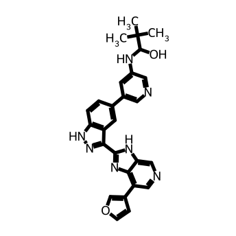 CC(C)(C)C(O)Nc1cncc(-c2ccc3[nH]nc(-c4nc5c(-c6ccoc6)cncc5[nH]4)c3c2)c1